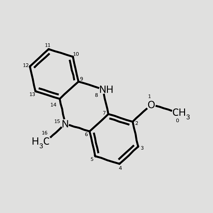 COc1cccc2c1Nc1ccccc1N2C